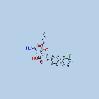 CCCCOC(=O)C(CC(N)=O)C(CCc1ccc(-c2cccc(Cl)c2)cc1)C(=O)O